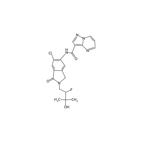 CC(C)(O)C(F)CN1Cc2cc(NC(=O)c3cnn4cccnc34)c(Cl)cc2C1=O